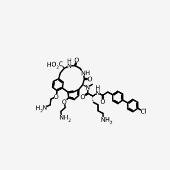 CN(C(=O)[C@@H](CCCCN)NC(=O)Cc1ccc(-c2ccc(Cl)cc2)cc1)[C@@H]1C(=O)NCC(=O)N[C@H](C(=O)O)Cc2ccc(OCCN)c(c2)-c2cc1ccc2OCCN